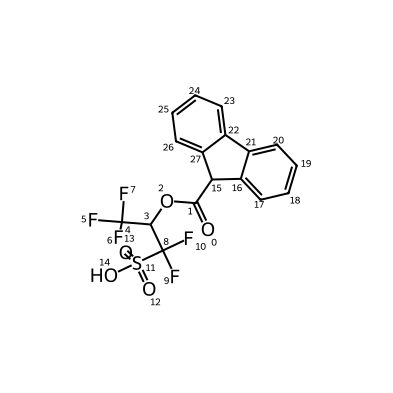 O=C(OC(C(F)(F)F)C(F)(F)S(=O)(=O)O)C1c2ccccc2-c2ccccc21